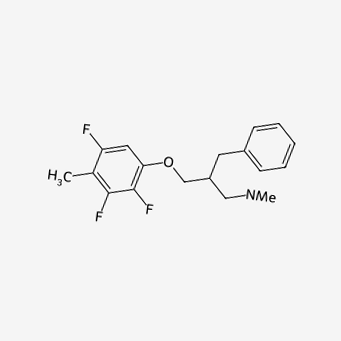 CNCC(COc1cc(F)c(C)c(F)c1F)Cc1ccccc1